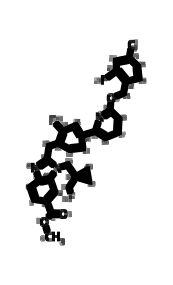 COC(=O)c1ccc2nc(Cc3ccc(-c4cccc(OCc5ccc(Cl)cc5F)n4)cc3F)n(CC3(CF)CC3)c2c1